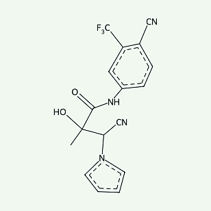 CC(O)(C(=O)Nc1ccc(C#N)c(C(F)(F)F)c1)C(C#N)n1cccc1